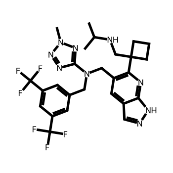 CC(C)NCC1(c2nc3[nH]ncc3cc2CN(Cc2cc(C(F)(F)F)cc(C(F)(F)F)c2)c2nnn(C)n2)CCC1